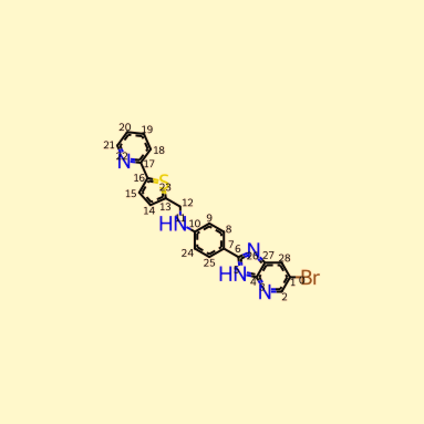 Brc1cnc2[nH]c(-c3ccc(NCc4ccc(-c5ccccn5)s4)cc3)nc2c1